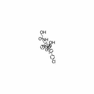 O=C(CCO)NC[C@@]1(c2ccccc2)C[C@]1(NS(=O)(=O)c1ccc(-c2ccc(Cl)cc2)s1)C(=O)O